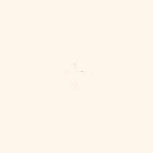 CS(=O)(=O)P(F)F